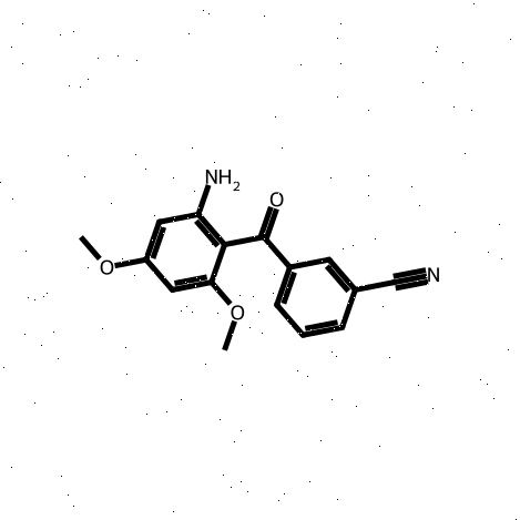 COc1cc(N)c(C(=O)c2cccc(C#N)c2)c(OC)c1